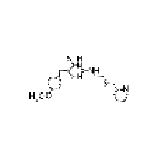 COc1ccc(Cc2cnc(NCCSCc3ccccn3)[nH]c2=S)cc1